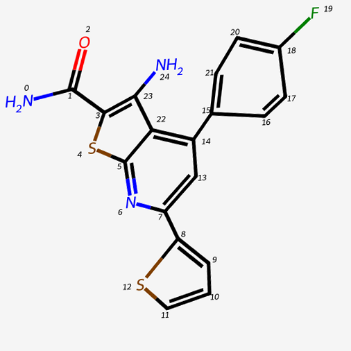 NC(=O)c1sc2nc(-c3cccs3)cc(-c3ccc(F)cc3)c2c1N